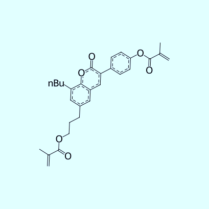 C=C(C)C(=O)OCCCc1cc(CCCC)c2oc(=O)c(-c3ccc(OC(=O)C(=C)C)cc3)cc2c1